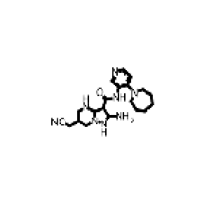 N#CCC1CNC2C(C(=O)Nc3cnccc3N3CCCCCC3)C(N)NN2C1